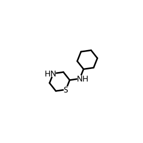 C1CCC(NC2CNCCS2)CC1